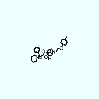 Cc1ccc(OCC[N+]23CCC(CC2)[C@@H](OC(=O)[C@](C)(c2ccccc2)N2CCCCC2)C3)cc1